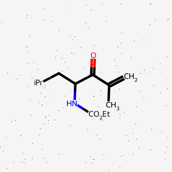 C=C(C)C(=O)C(CC(C)C)NC(=O)OCC